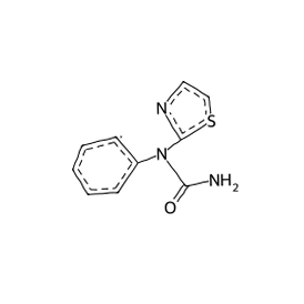 NC(=O)N(c1[c]cccc1)c1nccs1